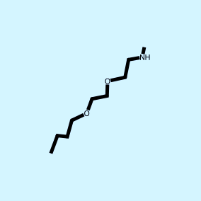 CCCCOCCOCCNC